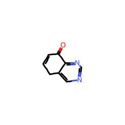 O=C1C=CCc2cncnc21